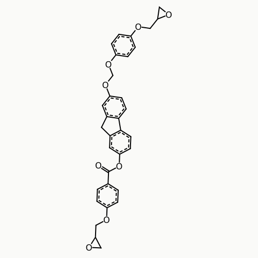 O=C(Oc1ccc2c(c1)Cc1cc(OCOc3ccc(OCC4CO4)cc3)ccc1-2)c1ccc(OCC2CO2)cc1